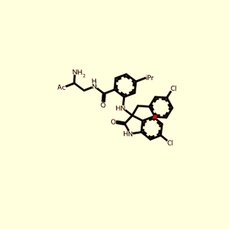 CC(=O)C(N)CNC(=O)c1ccc(C(C)C)cc1NC1(Cc2cccc(Cl)c2)C(=O)Nc2cc(Cl)ccc21